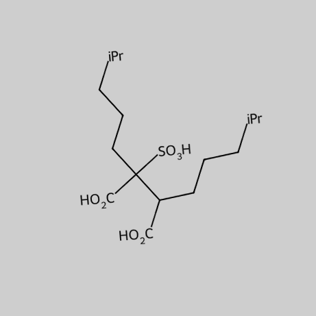 CC(C)CCCC(C(=O)O)C(CCCC(C)C)(C(=O)O)S(=O)(=O)O